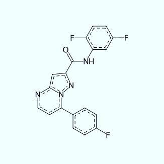 O=C(Nc1cc(F)ccc1F)c1cc2nccc(-c3ccc(F)cc3)n2n1